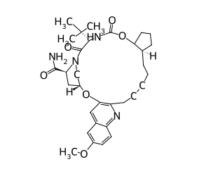 COc1ccc2nc3c(cc2c1)O[C@@H]1C[C@@H](C(N)=O)N(C1)C(=O)[C@H](C(C)(C)C)NC(=O)OC1CCC[C@H]1CCCCC3